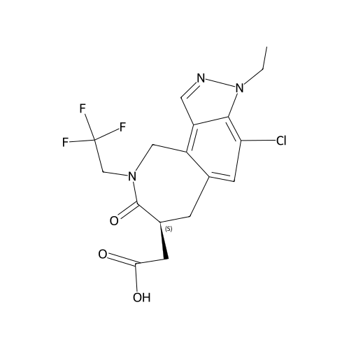 CCn1ncc2c3c(cc(Cl)c21)C[C@@H](CC(=O)O)C(=O)N(CC(F)(F)F)C3